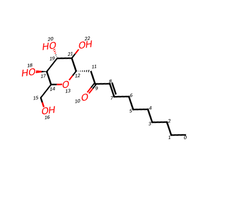 CCCCCCC/C=C/C(=O)C[C@@H]1OC(CO)[C@@H](O)[C@H](O)C1O